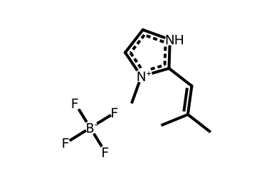 CC(C)=Cc1[nH]cc[n+]1C.F[B-](F)(F)F